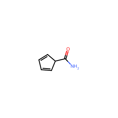 NC(=O)C1C=CC=C1